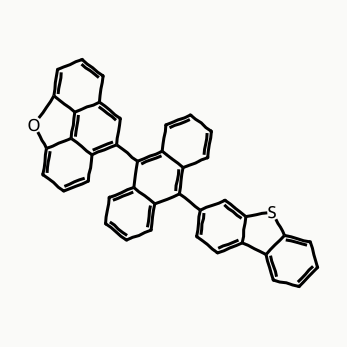 c1cc2cc(-c3c4ccccc4c(-c4ccc5c(c4)sc4ccccc45)c4ccccc34)c3cccc4oc(c1)c2c43